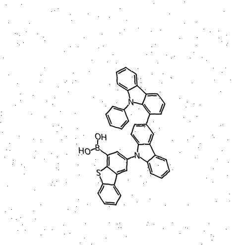 OB(O)c1cc(-n2c3ccccc3c3cc(-c4cccc5c6ccccc6n(-c6ccccc6)c45)ccc32)cc2c1sc1ccccc12